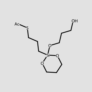 CC(=O)SCCC[Si]1(OCCCO)OCCCO1